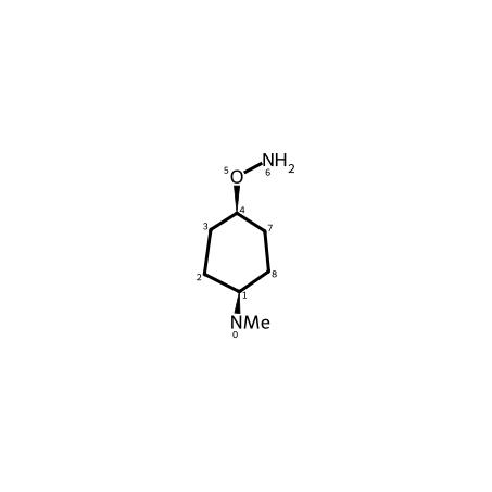 CN[C@H]1CC[C@@H](ON)CC1